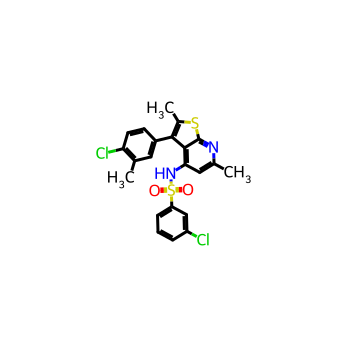 Cc1cc(NS(=O)(=O)c2cccc(Cl)c2)c2c(-c3ccc(Cl)c(C)c3)c(C)sc2n1